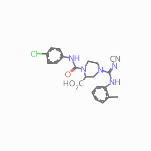 Cc1ccccc1N/C(=N/C#N)N1CCN(C(=O)Nc2ccc(Cl)cc2)C(C(=O)O)C1